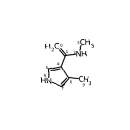 C=C(NC)c1c[nH]cc1C